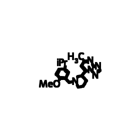 COc1ccc(C(C)C)cc1CN1CCCC(c2cc(C)nc3ncnn23)C1